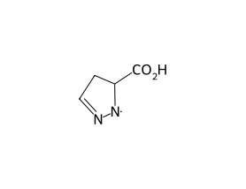 O=C(O)C1CC=N[N]1